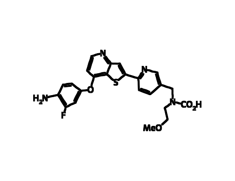 COCCN(Cc1ccc(-c2cc3nccc(Oc4ccc(N)c(F)c4)c3s2)nc1)C(=O)O